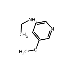 CCN.COc1cccnc1